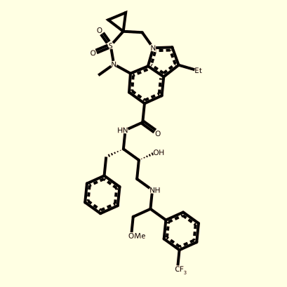 CCc1cn2c3c(cc(C(=O)N[C@@H](Cc4ccccc4)[C@H](O)CNC(COC)c4cccc(C(F)(F)F)c4)cc13)N(C)S(=O)(=O)C1(CC1)C2